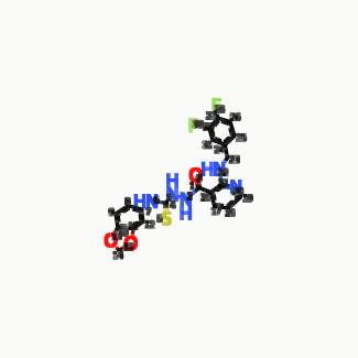 O=C(NNC(=S)Nc1ccc2c(c1)OCO2)c1cccnc1NCc1ccc(F)c(F)c1